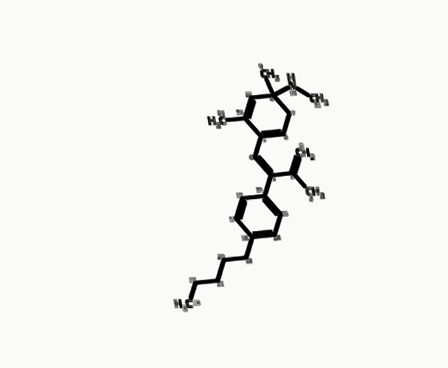 C=C(C)/C(=C\C1=CCC(C)(NC)C=C1C)c1ccc(CCCCC)cc1